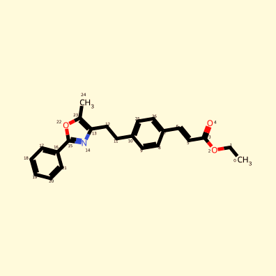 CCOC(=O)C=Cc1ccc(CCc2nc(-c3ccccc3)oc2C)cc1